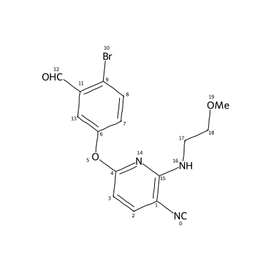 [C-]#[N+]c1ccc(Oc2ccc(Br)c(C=O)c2)nc1NCCOC